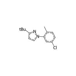 Cc1ccc(Cl)cc1-n1ccc(C(C)(C)C)n1